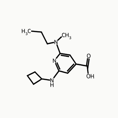 CCCN(C)c1cc(C(=O)O)cc(NC2CCC2)n1